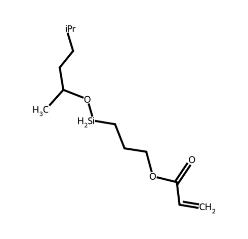 C=CC(=O)OCCC[SiH2]OC(C)CCC(C)C